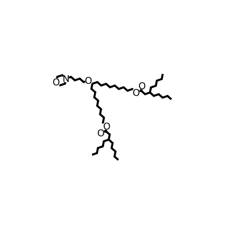 CCCCCC(CCCCC)CC(=O)OCCCCCCCCCC(CCCCCCCCCOC(=O)CC(CCCCC)CCCCC)OCCCCN1CCOCC1